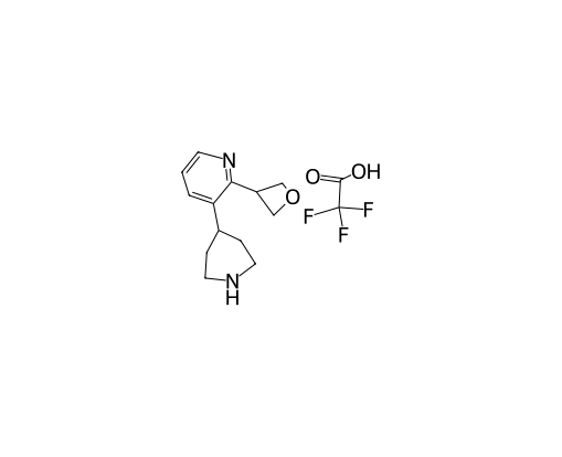 O=C(O)C(F)(F)F.c1cnc(C2COC2)c(C2CCNCC2)c1